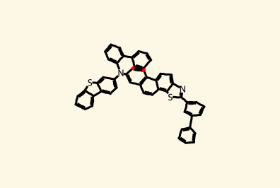 c1ccc(-c2cccc(-c3nc4ccc5c6ccc(N(c7ccc8c(c7)sc7ccccc78)c7ccccc7-c7ccccc7)cc6ccc5c4s3)c2)cc1